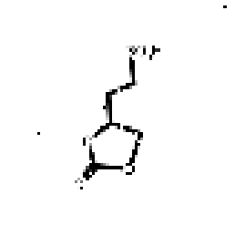 O=C1OCC(CCS(=O)(=O)O)O1